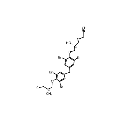 C#CCOC[C@@H](O)COc1c(Br)cc(Cc2cc(Br)c(OC[C@H](C)CCl)c(Br)c2)cc1Br